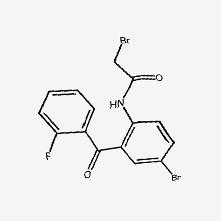 O=C(CBr)Nc1ccc(Br)cc1C(=O)c1ccccc1F